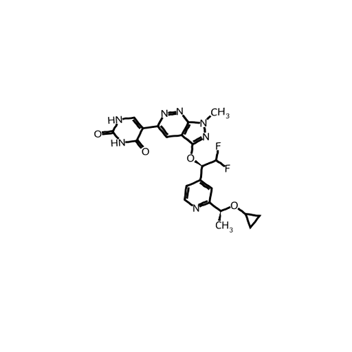 C[C@H](OC1CC1)c1cc([C@@H](Oc2nn(C)c3nnc(-c4c[nH]c(=O)[nH]c4=O)cc23)C(F)F)ccn1